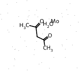 CC(=O)CC(C)=O.O.[Mo]